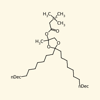 CCCCCCCCCCCCCCCCCC1(CCCCCCCCCCCCCCCCC)OCC(C)(OC(=O)C[N+](C)(C)C)O1